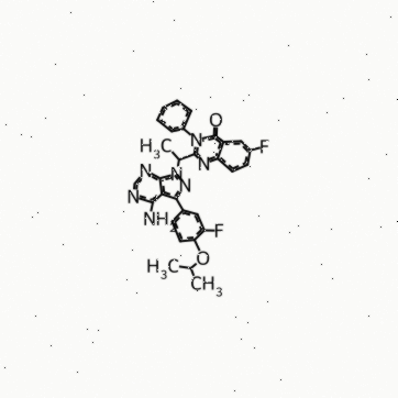 CC(C)Oc1ccc(-c2nn(C(C)c3nc4ccc(F)cc4c(=O)n3-c3ccccc3)c3ncnc(N)c23)cc1F